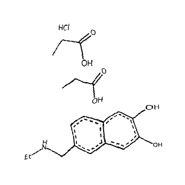 CCC(=O)O.CCC(=O)O.CCNCc1ccc2cc(O)c(O)cc2c1.Cl